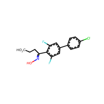 O=C(O)CCC(=NO)c1c(F)cc(-c2ccc(Cl)cc2)cc1F